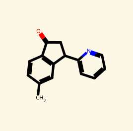 Cc1ccc2c(c1)C(c1ccccn1)CC2=O